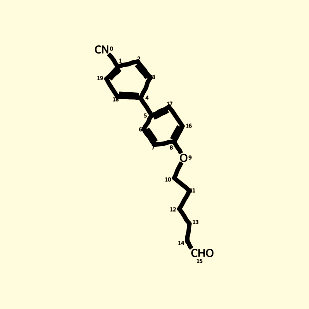 [C-]#[N+]c1ccc(-c2ccc(OCCCCCC=O)cc2)cc1